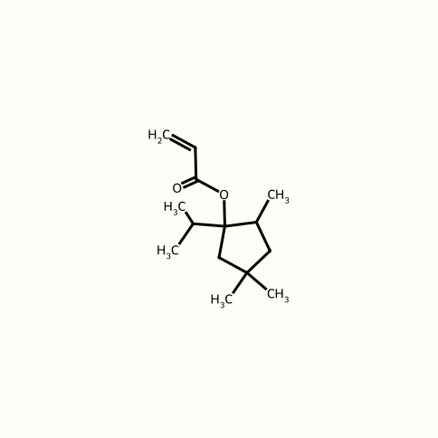 C=CC(=O)OC1(C(C)C)CC(C)(C)CC1C